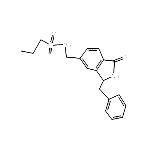 CCCS(=O)(=O)NCc1ccc2c(c1)C(Cc1ccccc1)NC2=O